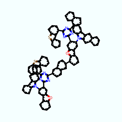 c1ccc2cc3c(cc2c1)c1ccccc1n3-c1cc2c(cc1-c1nc(-c3ccc4cc(-c5cccc6c5oc5cc(-c7nc(-c8cccc9ccccc89)nc(-c8cccc9sc%10ccccc%10c89)n7)c(-n7c8ccccc8c8cc9ccccc9cc87)cc56)ccc4c3)nc(-c3cccc4sc5ccccc5c34)n1)oc1ccccc12